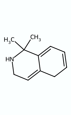 CC1(C)NCC=C2CC=CC=C21